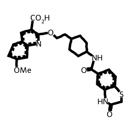 COc1ccc2cc(C(=O)O)c(OCCC3CCC(NC(=O)c4ccc5c(c4)NC(=O)CS5)CC3)nc2c1